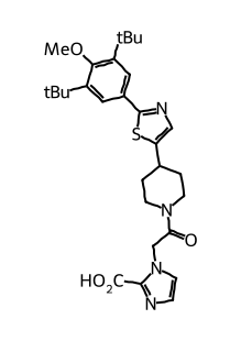 COc1c(C(C)(C)C)cc(-c2ncc(C3CCN(C(=O)Cn4ccnc4C(=O)O)CC3)s2)cc1C(C)(C)C